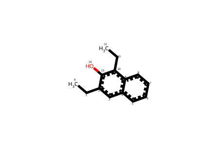 CCc1cc2ccccc2c(CC)c1O